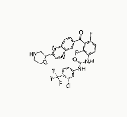 O=C(Nc1ccc(C(F)(F)F)c(Cl)c1)Nc1ccc(F)c(C(=O)c2ccc3nc(C4CNCCO4)cnc3c2)c1F